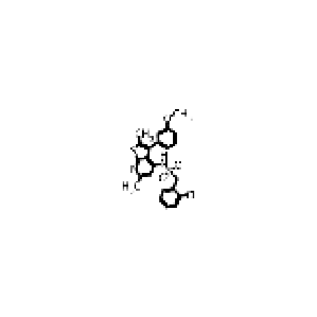 COc1cccc(-c2c(C)sc3nc(C)cc(NS(=O)(=O)Cc4ccccc4Cl)c23)c1